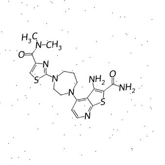 CN(C)C(=O)c1csc(N2CCCN(c3ccnc4sc(C(N)=O)c(N)c34)CC2)n1